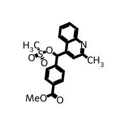 COC(=O)c1ccc(C(OS(C)(=O)=O)c2cc(C)nc3ccccc23)cc1